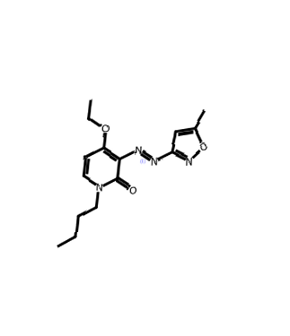 CCCCn1ccc(OCC)c(/N=N/c2cc(C)on2)c1=O